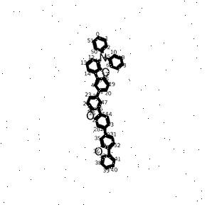 c1ccc(N(c2ccccc2)c2cccc3c2oc2ccc(-c4ccc5oc6cc(-c7ccc8c(c7)oc7ccccc78)ccc6c5c4)cc23)cc1